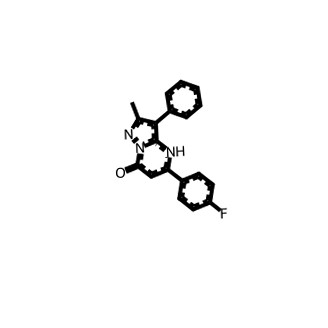 Cc1nn2c(=O)cc(-c3ccc(F)cc3)[nH]c2c1-c1ccccc1